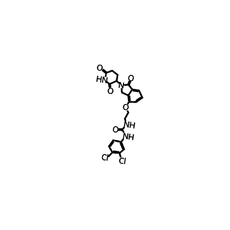 O=C1CCC(N2Cc3c(OCCNC(=O)Nc4ccc(Cl)c(Cl)c4)cccc3C2=O)C(=O)N1